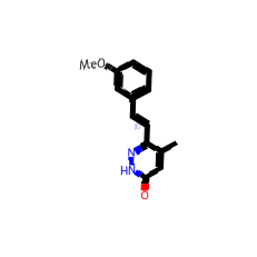 COc1cccc(/C=C/c2n[nH]c(=O)cc2C)c1